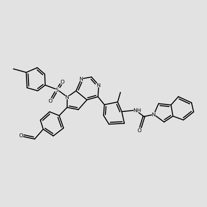 Cc1ccc(S(=O)(=O)n2c(-c3ccc(C=O)cc3)cc3c(-c4cccc(NC(=O)n5cc6ccccc6c5)c4C)ncnc32)cc1